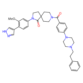 COc1cc(N2CCC3(CCN(C(=O)c4ccc(N5CCN(CCc6ccccc6)CC5)cc4)CC3)C2=O)ccc1-c1cn[nH]c1